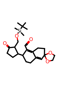 CC(C)(C)[Si](C)(C)OCC1C(=O)CCC1C1CCC2=CC3(CCC2=C1C=O)OCCO3